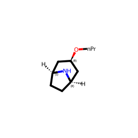 CCCO[C@H]1C[C@H]2CC[C@@H](C1)N2